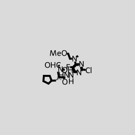 COCCN(C)c1nc(Cl)nc(NNC(=O)[C@H](CC2CCCC2)CN(O)C=O)c1F